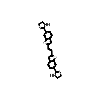 C(=C\c1cc2ccc(C3=NCCN3)cc2o1)/c1cc2ccc(C3=NCCN3)cc2o1